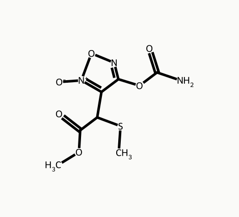 COC(=O)C(SC)c1c(OC(N)=O)no[n+]1[O-]